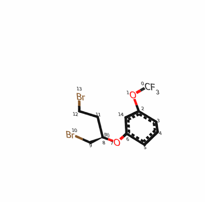 FC(F)(F)Oc1cccc(O[C@@H](CBr)CCBr)c1